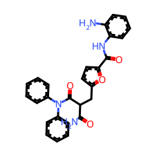 NC(=O)C(Cc1ccc(C(=O)Nc2ccccc2N)o1)C(=O)N(c1ccccc1)c1ccccc1